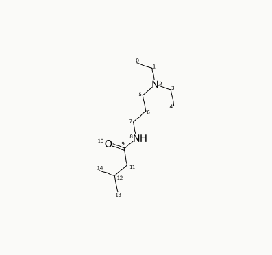 CCN(CC)CCCNC(=O)CC(C)C